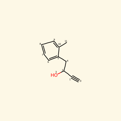 C#CC(O)Cc1ccccc1C